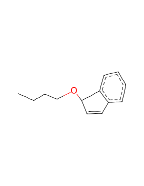 CCCCOC1C=Cc2ccccc21